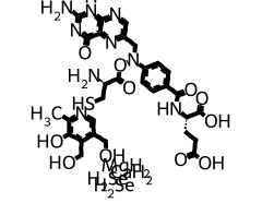 Cc1ncc(CO)c(CO)c1O.Nc1nc(=O)c2nc(CN(OC(=O)[C@@H](N)CS)c3ccc(C(=O)N[C@@H](CCC(=O)O)C(=O)O)cc3)cnc2[nH]1.[CaH2].[MgH2].[SeH2].[SeH2]